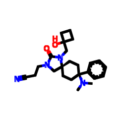 CN(C)[C@]1(c2ccccc2)CC[C@@]2(CC1)CN(CCC#N)C(=O)N2CC1(O)CCC1